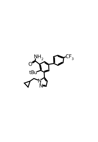 CC(C)(C)c1c(C(N)=O)cc(-c2ccc(C(F)(F)F)cc2)cc1-c1ccnn1CC1CC1